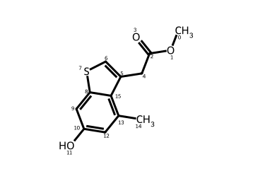 COC(=O)Cc1csc2cc(O)cc(C)c12